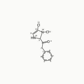 O=C(Cc1ccccc1)C1NC=C(Cl)N1Cl